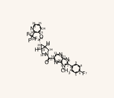 Cn1c(-c2ccc(F)cc2)nc2ncc(C(=O)N3C[C@@H]4[C@H](COc5cccnc5C(F)(F)F)[C@@H]4C3)nc21